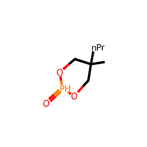 CCCC1(C)CO[PH](=O)OC1